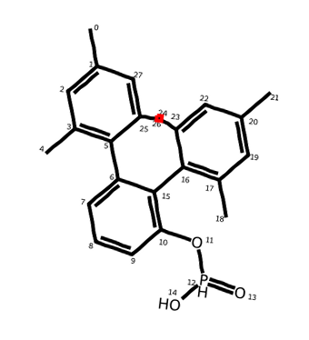 Cc1cc(C)c(-c2cccc(O[PH](=O)O)c2-c2c(C)cc(C)cc2C)c(C)c1